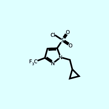 O=S(=O)(Cl)c1cc(C(F)(F)F)nn1CC1CC1